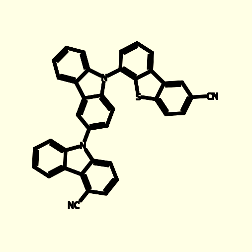 N#Cc1ccc2sc3c(-n4c5ccccc5c5cc(-n6c7ccccc7c7c(C#N)cccc76)ccc54)cccc3c2c1